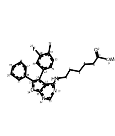 COC(=O)CCCCCNc1ncnc2oc(-c3ccccc3)c(-c3ccc(C)c(F)c3)c12